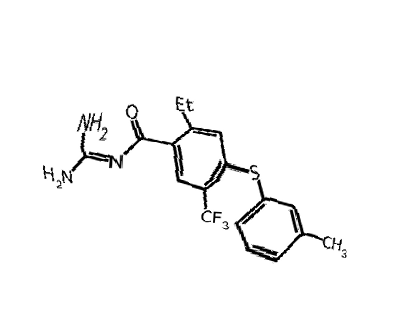 CCc1cc(Sc2cccc(C)c2)c(C(F)(F)F)cc1C(=O)N=C(N)N